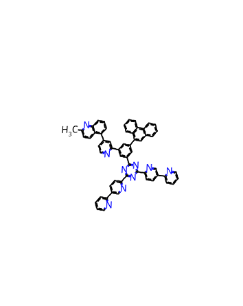 Cc1ccc2c(-c3ccnc(-c4cc(-c5nc(-c6ccc(-c7ccccn7)cn6)nc(-c6ccc(-c7ccccn7)cn6)n5)cc(-c5cc6ccccc6c6ccccc56)c4)c3)cccc2n1